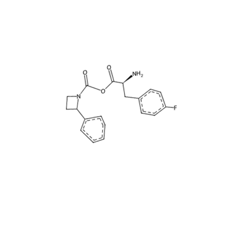 N[C@@H](Cc1ccc(F)cc1)C(=O)OC(=O)N1CCC1c1ccccc1